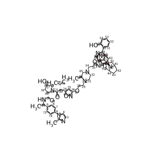 Cc1nccn1-c1ccc([C@H](C)NC(=O)[C@@H]2C[C@@H](O)CN2C(=O)[C@@H](c2cc(OCCN3CCN(CCOc4cc(N5C6CCC5CN(c5cc(-c7ccccc7O)nnc5N)C6)ccn4)C[C@@H]3C)no2)C(C)C)cc1